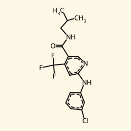 CC(C)CNC(=O)c1cnc(Nc2cccc(Cl)c2)cc1C(F)(F)F